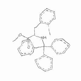 COC(=O)C(Cc1ccccc1I)NC(c1ccccc1)(c1ccccc1)c1ccccc1